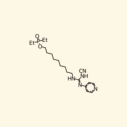 CCP(=O)(CC)OCCCCCCCCCNC(=Nc1ccncc1)NC#N